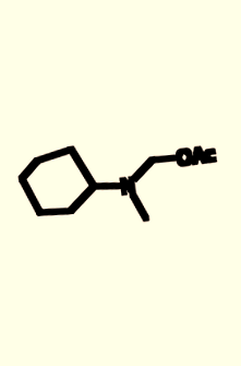 CC(=O)OCN(C)C1CCCCC1